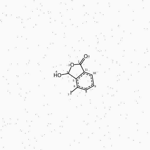 O=C1OC(O)c2c(I)cccc21